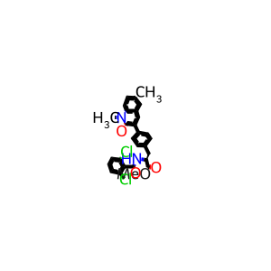 COC(=O)[C@H](Cc1ccc(-c2cc3cc(C)ccc3n(C)c2=O)cc1)NC(=O)c1c(Cl)cccc1Cl